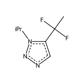 CC(C)n1nncc1C(C)(F)F